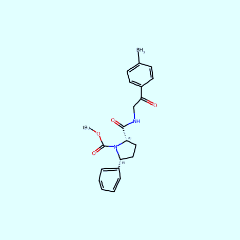 Bc1ccc(C(=O)CNC(=O)[C@@H]2CC[C@H](c3ccccc3)N2C(=O)OC(C)(C)C)cc1